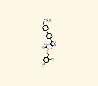 Cc1noc(-c2ccc(-c3ccc(CC(=O)O)cc3)cc2)c1NC(=O)OCCc1ccc(Cl)cc1Cl